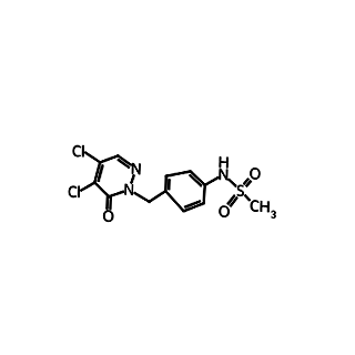 CS(=O)(=O)Nc1ccc(Cn2ncc(Cl)c(Cl)c2=O)cc1